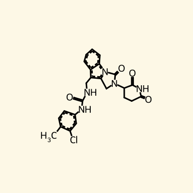 Cc1ccc(NC(=O)NCc2c3n(c4ccccc24)C(=O)N(C2CCC(=O)NC2=O)C3)cc1Cl